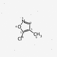 Cc1[c]noc1Cl